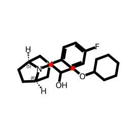 OC(COC1CCCCC1)CN1[C@@H]2CC[C@H]1CN(c1ccc(F)cc1)C2